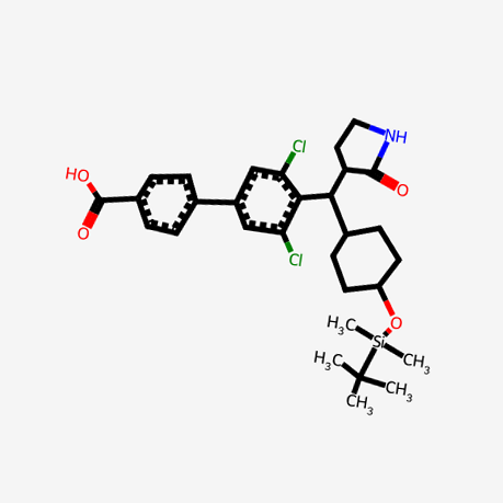 CC(C)(C)[Si](C)(C)OC1CCC(C(c2c(Cl)cc(-c3ccc(C(=O)O)cc3)cc2Cl)C2CCNC2=O)CC1